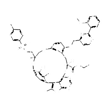 CCOC(=O)[C@H]1Cc2cc(ccc2OCc2ccnc(-c3ccccc3OC)n2)OC[C@@H](COS(=O)(=O)c2ccc(C)cc2)Oc2ccc(c(C)c2Cl)-c2c(Br)oc3ncnc(c23)O1